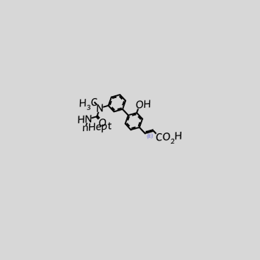 CCCCCCCNC(=O)N(C)c1cccc(-c2ccc(/C=C/C(=O)O)cc2O)c1